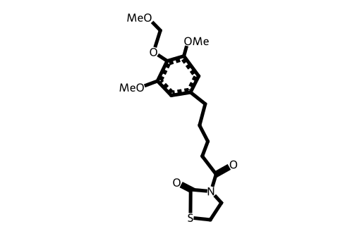 COCOc1c(OC)cc(CCCCC(=O)N2CCSC2=O)cc1OC